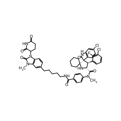 CN(C(=O)[C@@H]1NC2(CCCCC2)[C@@]2(C(=O)Nc3cc(Cl)ccc32)[C@H]1c1cccc(Cl)c1F)c1ccc(C(=O)NCCCCCc2ccc3c(c2)n(C)c(=O)n3C2CCC(=O)NC2=O)cc1